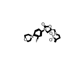 C=C1CCN(C[C@H]2CN(c3ccc(N4CCOCC4)c(F)c3)C(=O)O2)S1(=O)=O